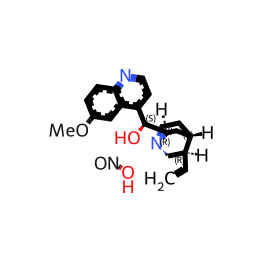 C=C[C@H]1C[N@]2CC[C@H]1C[C@@H]2[C@@H](O)c1ccnc2ccc(OC)cc12.O=NO